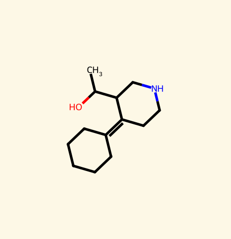 CC(O)C1CNCCC1=C1CCCCC1